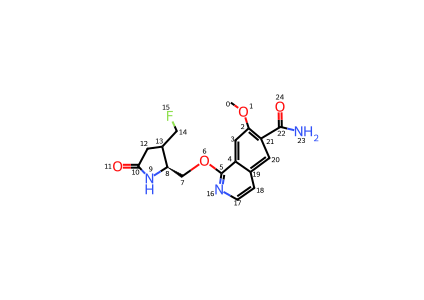 COc1cc2c(OC[C@H]3NC(=O)CC3CF)nccc2cc1C(N)=O